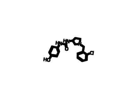 O=C(Nc1ccc(O)cc1)NC1CCN(Cc2ccccc2Cl)C1